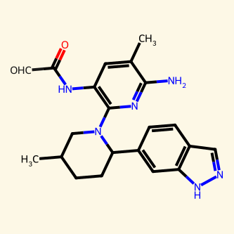 Cc1cc(NC(=O)C=O)c(N2CC(C)CCC2c2ccc3cn[nH]c3c2)nc1N